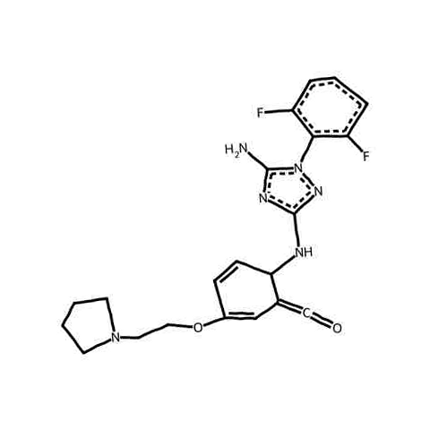 Nc1nc(NC2C=CC(OCCN3CCCC3)=CC2=C=O)nn1-c1c(F)cccc1F